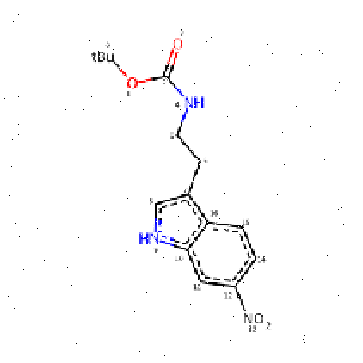 CC(C)(C)OC(=O)NCCc1c[nH]c2cc([N+](=O)[O-])ccc12